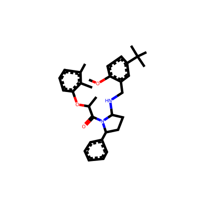 COc1ccc(C(C)(C)C)cc1CNC1CCC(c2ccccc2)N1C(=O)C(C)Oc1cccc(C)c1C